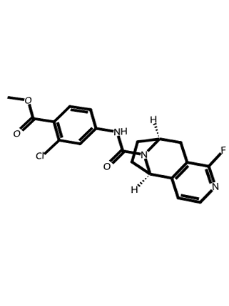 COC(=O)c1ccc(NC(=O)N2[C@H]3CC[C@@H]2c2ccnc(F)c2C3)cc1Cl